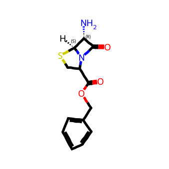 N[C@@H]1C(=O)N2C(C(=O)OCc3ccccc3)CS[C@@H]12